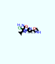 NC(=O)c1c(Cl)c(C2CC2)nn1-c1ccc([C@@H]2CNCCO2)nc1